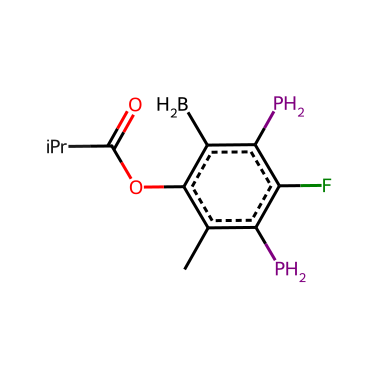 Bc1c(P)c(F)c(P)c(C)c1OC(=O)C(C)C